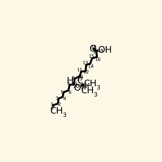 CCCCCCCCC(CCCCCCCCC(=O)O)OC(C)(C)C